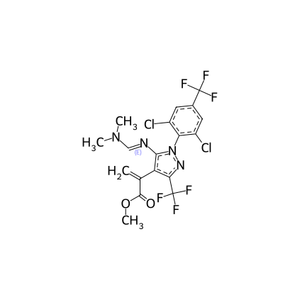 C=C(C(=O)OC)c1c(C(F)(F)F)nn(-c2c(Cl)cc(C(F)(F)F)cc2Cl)c1/N=C/N(C)C